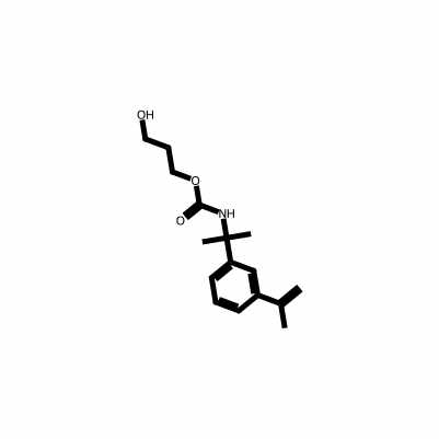 C=C(C)c1cccc(C(C)(C)NC(=O)OCCCO)c1